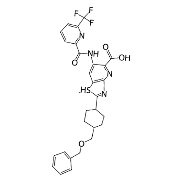 C[SH]1C(C2CCC(COCc3ccccc3)CC2)=Nc2nc(C(=O)O)c(NC(=O)c3cccc(C(F)(F)F)n3)cc21